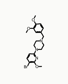 COc1ccc(CN2CCN(c3ccc(Br)c(OC)n3)CC2)cc1OC